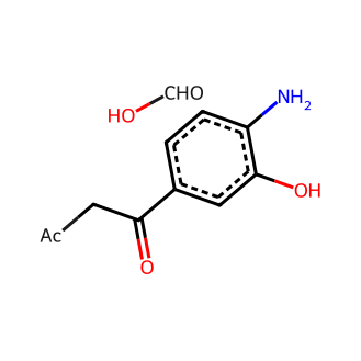 CC(=O)CC(=O)c1ccc(N)c(O)c1.O=CO